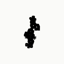 CC(Cc1cc(-c2cccc(CC(F)(c3ccc(S(C)(=O)=O)cc3)S(=O)(=O)c3nccs3)c2)c2ncccc2c1)S(C)(=O)=O